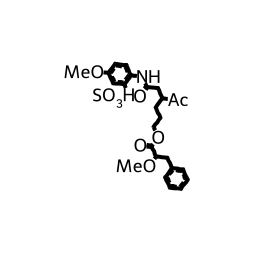 COc1ccc(NC(=O)CC(CCCOC(=O)C(Cc2ccccc2)OC)C(C)=O)c(S(=O)(=O)O)c1